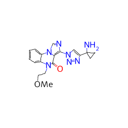 COCCn1c(=O)c2c(-n3cc(C4(N)CC4)nn3)ncn2c2ccccc21